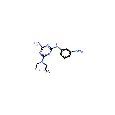 CCN(CC)c1nc(N)nc(Nc2cccc(N)c2)n1